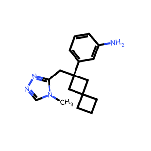 Cn1cnnc1CC1(c2cccc(N)c2)CC2(CCC2)C1